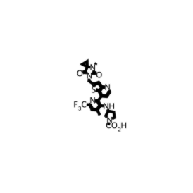 Cc1cc(C(F)(F)F)nc(-c2ccnc3cc(CN4C(=O)N(C)C5(CC5)C4=O)sc23)c1NC1CCN(C(=O)O)C1